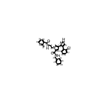 O=C(NCCn1cc(-c2n[nH]cc2-c2ccccc2Cl)cc1C(=O)NCc1ccccc1)c1cccnc1F